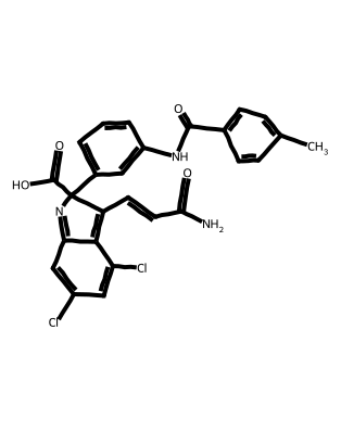 Cc1ccc(C(=O)Nc2cccc(C3(C(=O)O)N=c4cc(Cl)cc(Cl)c4=C3C=CC(N)=O)c2)cc1